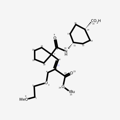 COCCOC/C(=C\C1(C(=O)N[C@H]2CC[C@@H](C(=O)O)CC2)CCCC1)C(=O)OC(C)(C)C